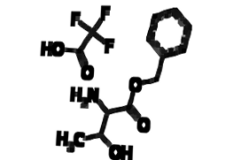 CC(O)C(N)C(=O)OCc1ccccc1.O=C(O)C(F)(F)F